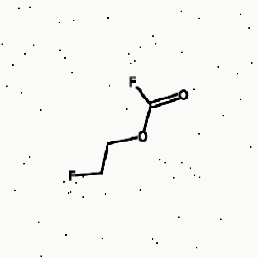 O=C(F)OCCF